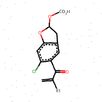 C=C(CC)C(=O)c1cc2c(cc1Cl)OC(OC(=O)O)C2